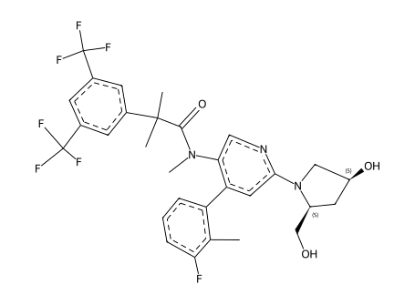 Cc1c(F)cccc1-c1cc(N2C[C@@H](O)C[C@H]2CO)ncc1N(C)C(=O)C(C)(C)c1cc(C(F)(F)F)cc(C(F)(F)F)c1